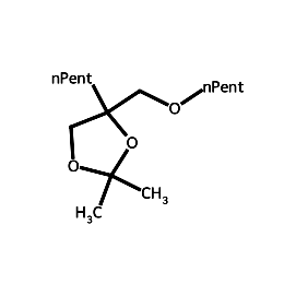 CCCCCOCC1(CCCCC)COC(C)(C)O1